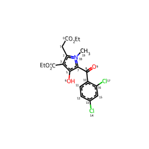 CCOC(=O)Cc1c(C(=O)OCC)c(O)c(C(=O)c2ccc(Cl)cc2Cl)n1C